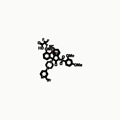 CCOc1c(OC)cccc1C1(N2CCN(c3ccnc(C(C)C)c3)CC2)C(=O)N(S(=O)(=O)c2ccc(OC)cc2OC)c2ccc(C#N)cc21.O=C(O)C(F)(F)F